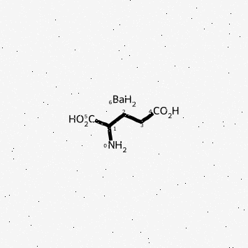 NC(CCC(=O)O)C(=O)O.[BaH2]